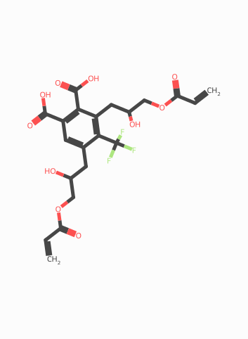 C=CC(=O)OCC(O)Cc1cc(C(=O)O)c(C(=O)O)c(CC(O)COC(=O)C=C)c1C(F)(F)F